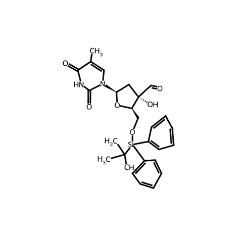 Cc1cn([C@H]2C[C@@](O)(C=O)[C@@H](CO[Si](c3ccccc3)(c3ccccc3)C(C)(C)C)O2)c(=O)[nH]c1=O